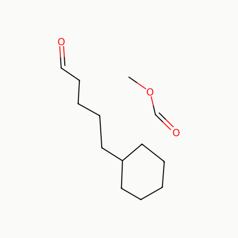 COC=O.O=CCCCCC1CCCCC1